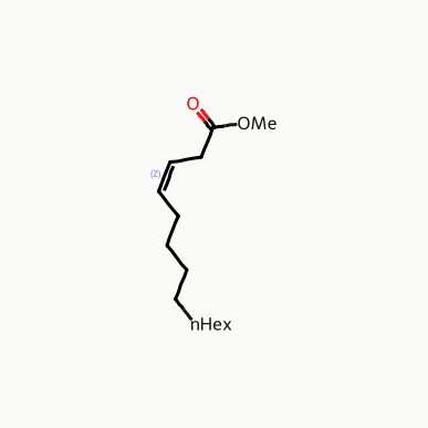 CCCCCCCCCC/C=C\CC(=O)OC